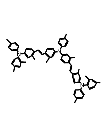 Cc1ccc(N(c2ccc(C=Cc3ccc(N(c4ccc(C)cc4)c4ccc(C)cc4C)cc3C)c(C)c2)c2ccc(C=Cc3ccc(N(c4ccc(C)cc4)c4ccc(C)cc4C)cc3C)c(C)c2)cc1